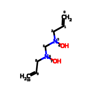 C=CCN(O)CN(O)CC=C